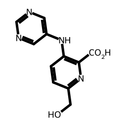 O=C(O)c1nc(CO)ccc1Nc1cncnc1